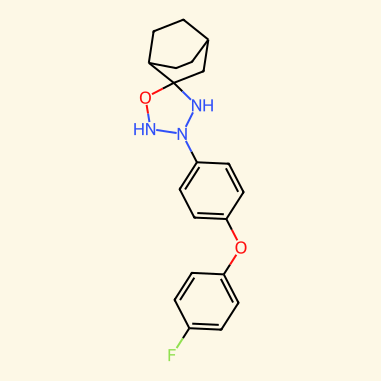 Fc1ccc(Oc2ccc(N3NOC4(CC5CCC4CC5)N3)cc2)cc1